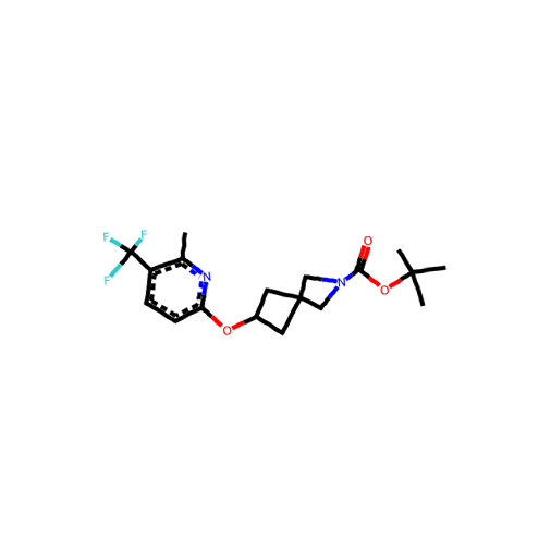 Cc1nc(OC2CC3(C2)CN(C(=O)OC(C)(C)C)C3)ccc1C(F)(F)F